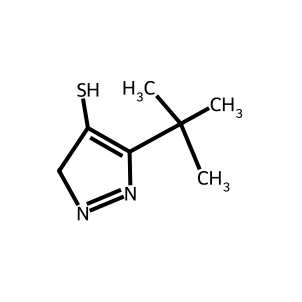 CC(C)(C)C1=C(S)CN=N1